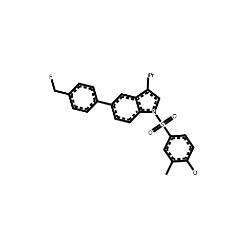 Cc1cc(S(=O)(=O)n2cc(C(C)C)c3cc(-c4ccc(CF)cc4)ccc32)ccc1[O]